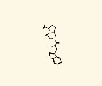 NC(Cc1c[nH]c2ccccc12)C(=O)N1CC(=O)N2C(CCC2C(=O)O)C1